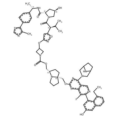 CCc1cccc2cc(O)cc(-c3ncc4c(N5CC6CCC(C5)N6)nc(OC[C@]56CCCN5[C@H](COC(=O)N5CC(Oc7cc([C@@H](C(=O)N8C[C@H](O)C[C@H]8C(=O)N[C@@H](C)c8ccc(-c9scnc9C)cc8)C(C)C)on7)C5)CC6)nc4c3F)c12